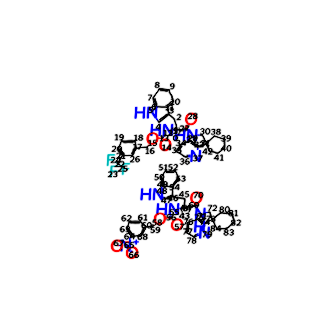 C[C@@](Cc1c[nH]c2ccccc12)(NC(=O)OCc1cccc(C(F)(F)F)c1)C(=O)NCC1(c2ccccn2)CCCCC1.C[C@@](Cc1c[nH]c2ccccc12)(NC(=O)OCc1cccc([N+](=O)[O-])c1)C(=O)NCC1(c2ccccn2)CCCCC1